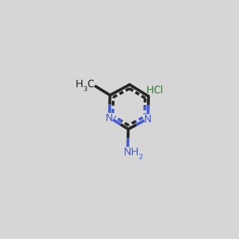 Cc1ccnc(N)n1.Cl